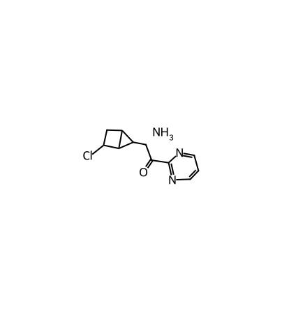 N.O=C(CC1C2CC(Cl)C12)c1ncccn1